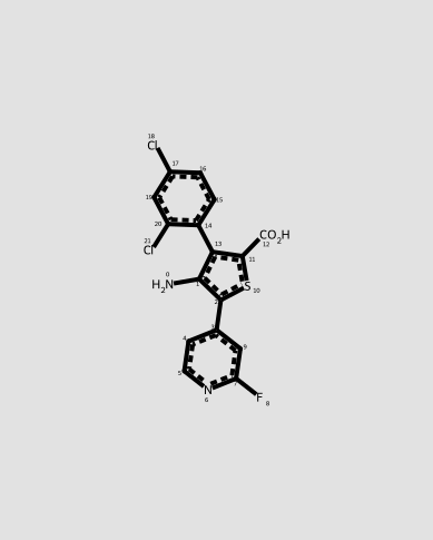 Nc1c(-c2ccnc(F)c2)sc(C(=O)O)c1-c1ccc(Cl)cc1Cl